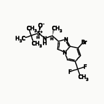 C[C@@H](N[S@+]([O-])C(C)(C)C)c1cn2cc(C(C)(F)F)cc(Br)c2n1